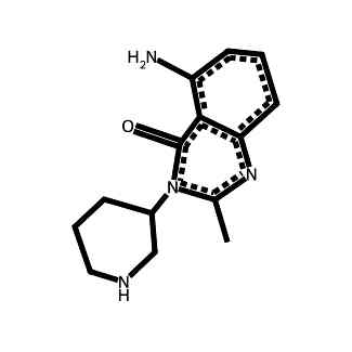 Cc1nc2cccc(N)c2c(=O)n1C1CCCNC1